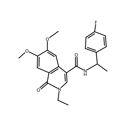 CCn1cc(C(=O)NC(C)c2ccc(F)cc2)c2cc(OC)c(OC)cc2c1=O